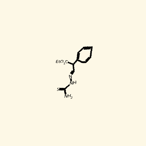 CCOC(=O)C(C=NNC(N)=S)c1ccccc1